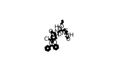 C=CCON=C(C(=O)NC1C(=O)N2CC(CCl)(C(=O)OC(c3ccccc3)c3ccccc3)CS[C@H]12)c1csc(NC=O)n1